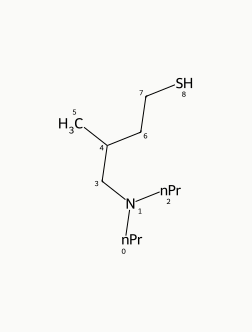 CCCN(CCC)CC(C)CCS